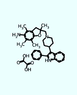 Cc1c(C)c2c(c(C)c1N)CC(C)(CN1CCC(c3c(-c4ccccc4)[nH]c4ccccc34)CC1)O2.O=C(O)C(=O)O